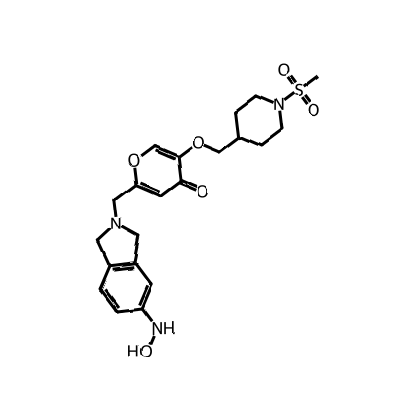 CS(=O)(=O)N1CCC(COc2coc(CN3Cc4ccc(NO)cc4C3)cc2=O)CC1